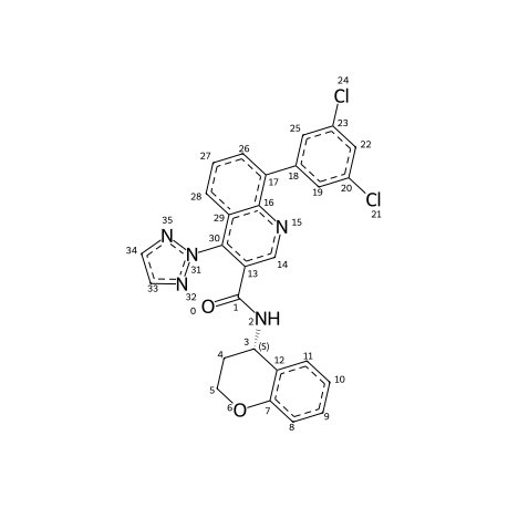 O=C(N[C@H]1CCOc2ccccc21)c1cnc2c(-c3cc(Cl)cc(Cl)c3)cccc2c1-n1nccn1